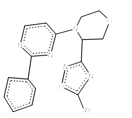 CC(C)c1nc(C2COCCN2c2ccnc(-c3ccccc3)n2)no1